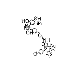 Cc1sc2c(c1C)C(c1ccc(Cl)cc1)=N[C@@H](CC(=O)NCCOCc1ccc(-n3c(O)nnc3-c3cc(C(C)C)c(O)cc3O)cc1)c1nnc(C)n1-2